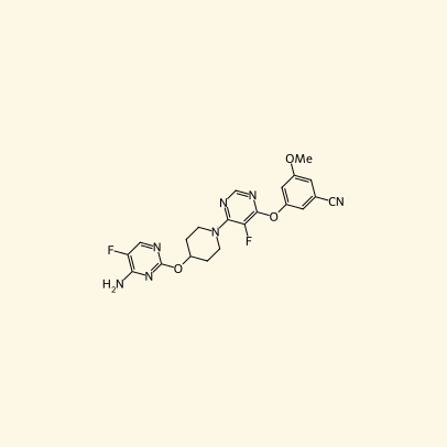 COc1cc(C#N)cc(Oc2ncnc(N3CCC(Oc4ncc(F)c(N)n4)CC3)c2F)c1